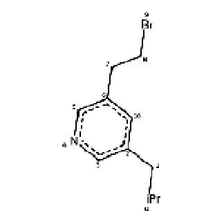 CC(C)Cc1cncc(CCBr)c1